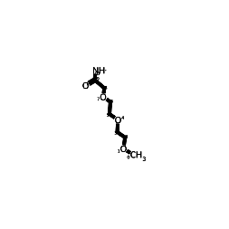 COCCOCCOCC([NH])=O